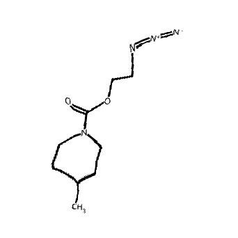 CC1CCN(C(=O)OCCN=[N+]=[N-])CC1